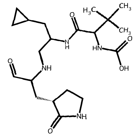 CC(C)(C)C(NC(=O)O)C(=O)NC(CNC(C=O)C[C@@H]1CCNC1=O)CC1CC1